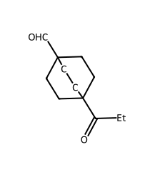 CCC(=O)C12CCC(C=O)(CC1)CC2